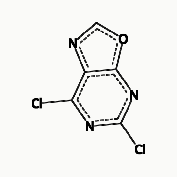 Clc1nc(Cl)c2ncoc2n1